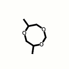 CC1COCOC(C)CO1